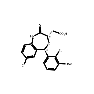 CCc1c(OC)cccc1[C@@H]1O[C@@H](CC(=O)O)C(=S)Nc2ccc(Cl)cc21